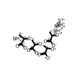 CC([O-])C(=O)[O-].CC([O-])C(=O)[O-].CC([O-])C(=O)[O-].CC([O-])C(=O)[O-].[NH4+].[NH4+].[NH4+].[NH4+].[Ti+4]